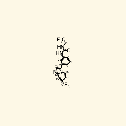 O=C(NCC(F)(F)F)Nc1cccc(-c2cnc3cc(C(F)(F)F)ccn23)c1